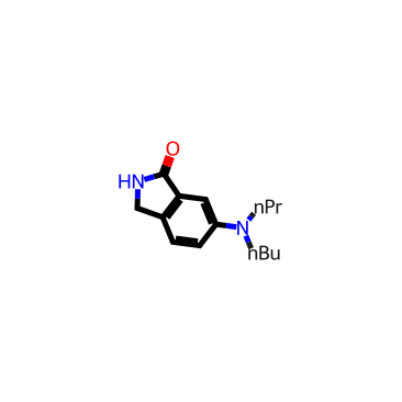 CCCCN(CCC)c1ccc2c(c1)C(=O)NC2